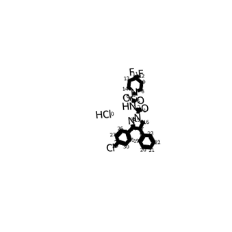 Cl.O=C(NS(=O)(=O)N1CCC(F)(F)CC1)N1CC(c2ccccc2)C(c2ccc(Cl)cc2)=N1